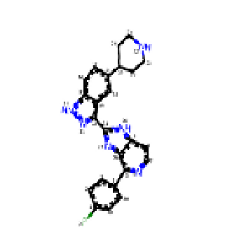 Fc1ccc(-c2nccc3[nH]c(-c4n[nH]c5ccc(C6CCNCC6)cc45)nc23)cc1